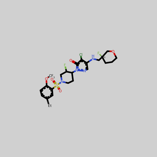 CCc1ccc(OC(F)(F)F)c(S(=O)(=O)N2CCC(n3ncc(NC[C@@]4(F)CCCOC4)c(Cl)c3=O)C(F)C2)c1